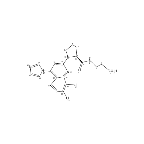 O=C(O)CCNC(=O)[C@@H]1CCCN1c1cc(-n2ccnc2)c2ccc(Cl)c(Cl)c2n1